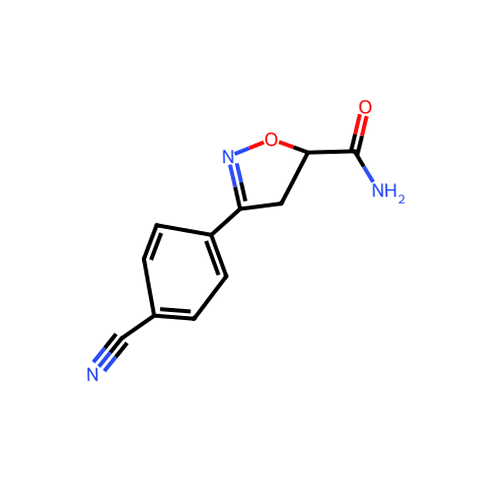 N#Cc1ccc(C2=NOC(C(N)=O)C2)cc1